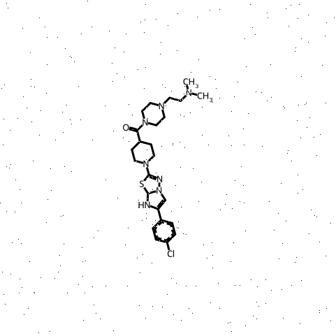 CN(C)CCN1CCN(C(=O)C2CCN(C3=NN4C=C(c5ccc(Cl)cc5)NC4S3)CC2)CC1